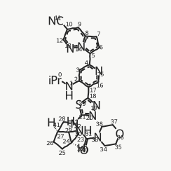 CC(C)Nc1cc(-c2ccc3cc(C#N)cnn23)ncc1-c1nnc(N2C[C@H]3CC[C@@H](C2)[C@H]3NC(=O)N2CCOCC2)s1